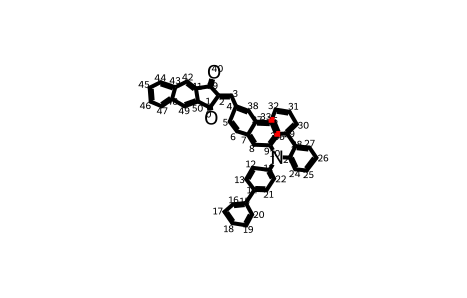 O=C1C(=Cc2ccc3cc(N(c4ccc(-c5ccccc5)cc4)c4ccccc4-c4ccccc4)ccc3c2)C(=O)c2cc3ccccc3cc21